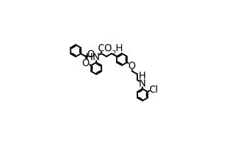 O=C(Oc1ccccc1NC(CCc1ccc(OCCCNc2ccccc2Cl)cc1)C(=O)O)c1ccccc1